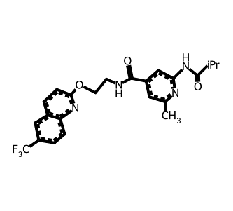 Cc1cc(C(=O)NCCOc2ccc3cc(C(F)(F)F)ccc3n2)cc(NC(=O)C(C)C)n1